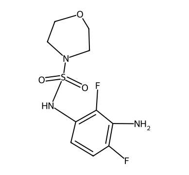 Nc1c(F)ccc(NS(=O)(=O)N2CCOCC2)c1F